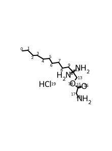 CCCCCCCCCCC(N)(N)COC(=O)CN.Cl